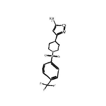 Nc1cc(C2CCN(S(=O)(=O)c3ccc(C(F)(F)F)cc3)CC2)no1